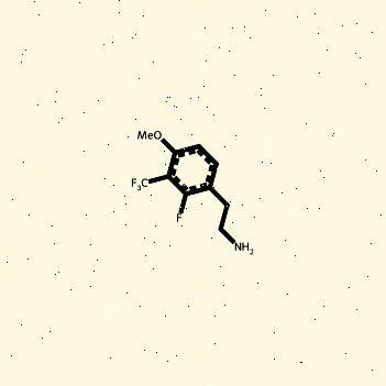 COc1ccc(CCN)c(F)c1C(F)(F)F